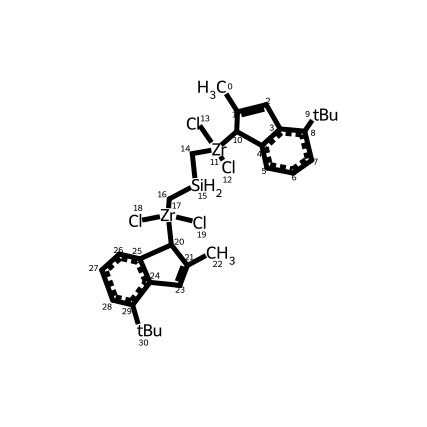 CC1=Cc2c(cccc2C(C)(C)C)[CH]1[Zr]([Cl])([Cl])[CH2][SiH2][CH2][Zr]([Cl])([Cl])[CH]1C(C)=Cc2c1cccc2C(C)(C)C